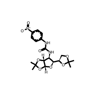 CC1(C)O[C@H]2O[C@H]([C@H]3COC(C)(C)O3)[C@H](NC(=O)Nc3ccc([N+](=O)[O-])cc3)[C@H]2O1